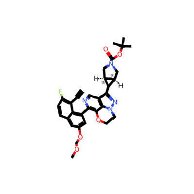 C#Cc1c(F)ccc2cc(OCOC)cc(-c3ncc4c(C5[C@H]6CN(C(=O)OC(C)(C)C)C[C@@H]56)nn5c4c3OCC5)c12